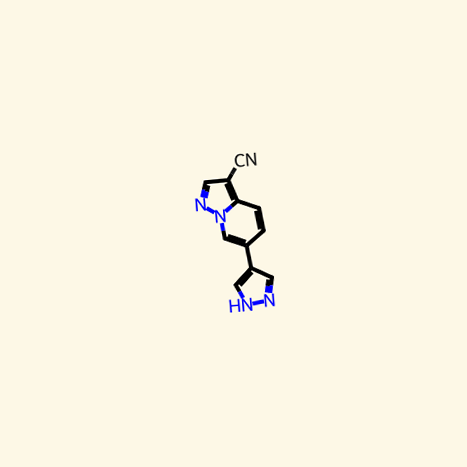 N#Cc1cnn2cc(-c3cn[nH]c3)ccc12